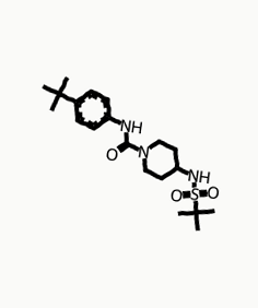 CC(C)(C)c1ccc(NC(=O)N2CCC(NS(=O)(=O)C(C)(C)C)CC2)cc1